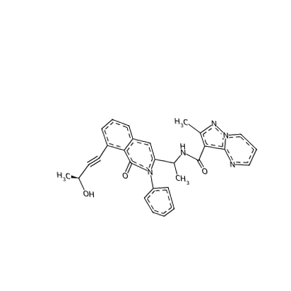 Cc1nn2cccnc2c1C(=O)NC(C)c1cc2cccc(C#C[C@H](C)O)c2c(=O)n1-c1ccccc1